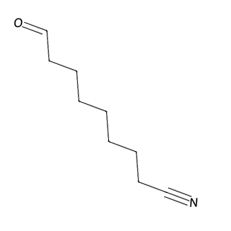 N#CCCCCCCCC=O